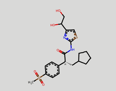 CS(=O)(=O)c1ccc([C@@H](CC2CCCC2)C(=O)Nc2nc(C(O)CO)cs2)cc1